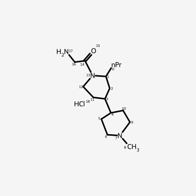 CCCC1CC(C2CCN(C)CC2)CCN1C(=O)CN.Cl